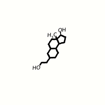 CC12CCC3CC(CCO)CCC3C1CC[C@@H]2O